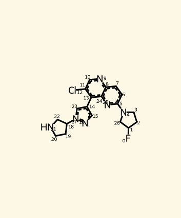 FC1CCN(c2ccc3ncc(Cl)c(-c4cnn(C5CCNC5)c4)c3n2)C1